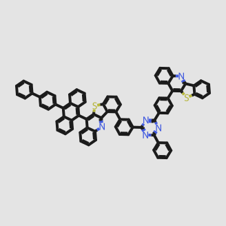 c1ccc(-c2ccc(-c3c4ccccc4c(-c4c5ccccc5nc5c4sc4cccc(-c6cccc(-c7nc(-c8ccccc8)nc(-c8ccc(-c9c%10ccccc%10nc%10c9sc9ccccc9%10)cc8)n7)c6)c45)c4ccccc34)cc2)cc1